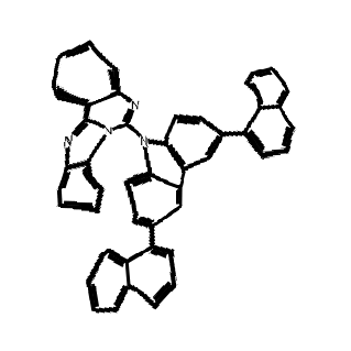 c1ccc2c(-c3ccc4c(c3)c3cc(-c5cccc6ccccc56)ccc3n4-c3nc4ccccc4c4nc5ccccc5n34)cccc2c1